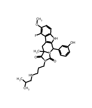 COc1ccc2[nH]c3c(c2c1F)CC1(C)C(=O)N(CCCNCC(C)C)C(=O)N1C3c1cccc(O)c1